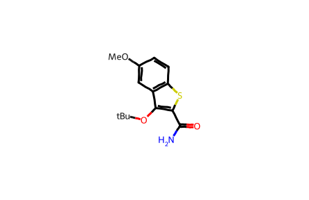 COc1ccc2sc(C(N)=O)c(OC(C)(C)C)c2c1